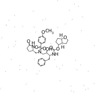 COc1ccc(S(=O)(=O)N(C[C@H]2CCC(=O)N2)C[C@@H](O)[C@H](Cc2ccccc2)NC(=O)OC2CC[C@H]3OCC[C@@H]23)cc1